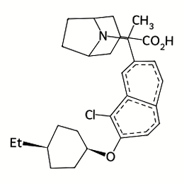 CC[C@H]1CC[C@@H](Oc2ccc3ccc(C(C)N4C5CCC4CC(C(=O)O)C5)cc3c2Cl)CC1